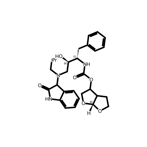 CC(C)CN(C[C@@H](O)[C@H](Cc1ccccc1)NC(=O)OC1CO[C@H]2OCCC12)C1C(=O)Nc2ccccc21